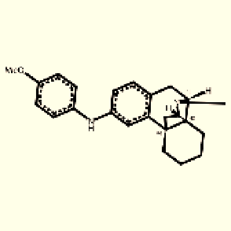 COc1ccc(Nc2ccc3c(c2)[C@@]24CCCC[C@H]2[C@@H](C3)N(C)CC4)cc1